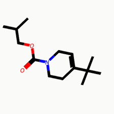 CC(C)COC(=O)N1CC=C(C(C)(C)C)CC1